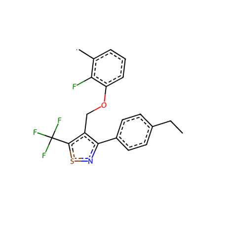 [CH2]c1cccc(OCc2c(-c3ccc(CC)cc3)nsc2C(F)(F)F)c1F